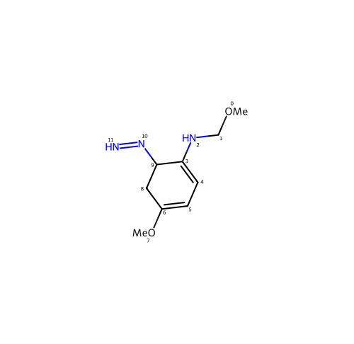 COCNC1=CC=C(OC)CC1N=N